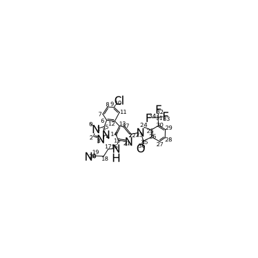 Cn1cnnc1-c1ccc(Cl)cc1-c1cc(NCCC#N)nc(N2Cc3c(cccc3C(F)(F)F)C2=O)c1